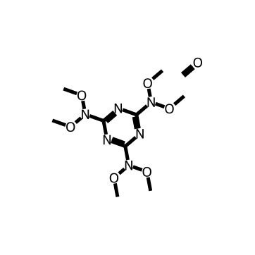 C=O.CON(OC)c1nc(N(OC)OC)nc(N(OC)OC)n1